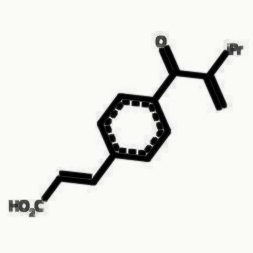 C=C(C(=O)c1ccc(C=CC(=O)O)cc1)C(C)C